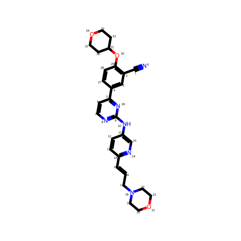 N#Cc1cc(-c2ccnc(Nc3ccc(/C=C/CN4CCOCC4)nc3)n2)ccc1OC1CCOCC1